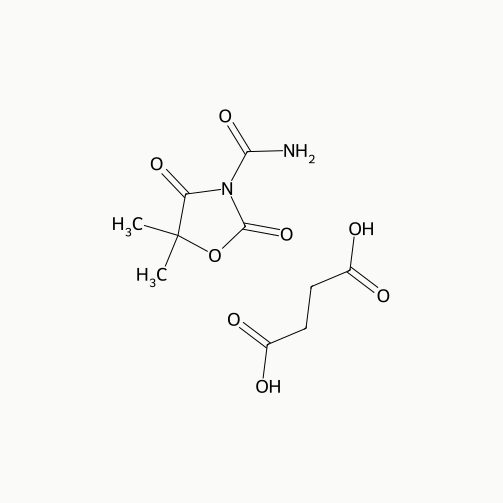 CC1(C)OC(=O)N(C(N)=O)C1=O.O=C(O)CCC(=O)O